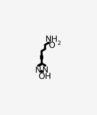 NC(=O)CCCC#Cc1cnc(O)nc1